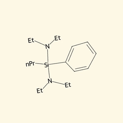 CCC[Si](c1ccccc1)(N(CC)CC)N(CC)CC